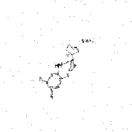 N[C@H]1CC[C@H](C(=O)Nc2cc(F)c(F)cc2F)C1